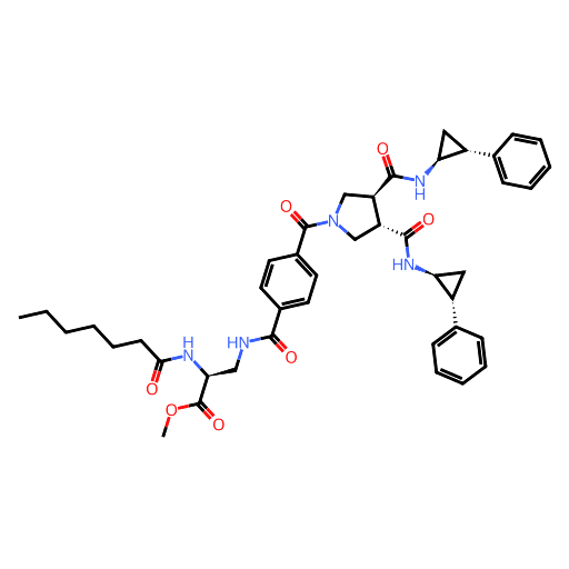 CCCCCCC(=O)N[C@@H](CNC(=O)c1ccc(C(=O)N2C[C@@H](C(=O)N[C@H]3C[C@@H]3c3ccccc3)[C@H](C(=O)N[C@H]3C[C@@H]3c3ccccc3)C2)cc1)C(=O)OC